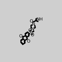 O=C1c2ccccc2C(=O)c2cc(S(=O)(=O)CN3CCN(C(=O)C4CNC4)CC3)ccc21